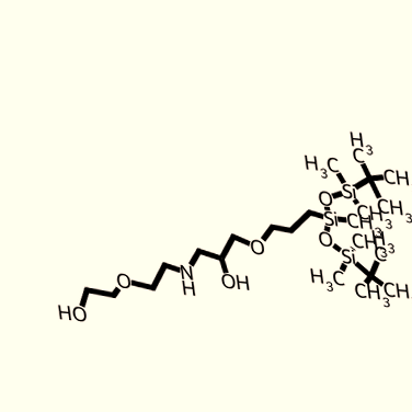 CC(C)(C)[Si](C)(C)O[Si](C)(CCCOCC(O)CNCCOCCO)O[Si](C)(C)C(C)(C)C